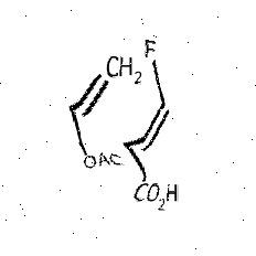 C=COC(C)=O.O=C(O)C=CF